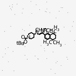 C/C=N\C(=C/N(C)C1CCN(C(=O)OC(C)(C)C)CC1)c1ccc2c(c1)C(C)(C)CCC2(C)C